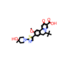 COc1cc2c(cc1-c1cnc(N3CCC(C)(O)CC3)s1)CC(C(C)(C)C)n1cc(C(=O)O)c(=O)cc1-2